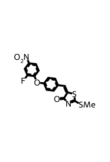 CSC1=NC(=O)/C(=C\c2ccc(Oc3ccc([N+](=O)[O-])cc3F)cc2)S1